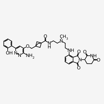 CN(CCNC(=O)C12CC(COc3cc(-c4ccccc4O)nnc3N)(C1)C2)CCNc1cccc2c1C(=O)N(C1CCC(=O)NC1=O)C2=O